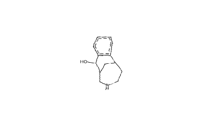 OC1c2ccccc2C2CCNCC1C2